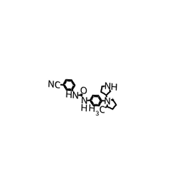 CC1CCC[N+]1(c1ccc(NC(=O)Nc2cccc(C#N)c2)cc1)C1CCNC1